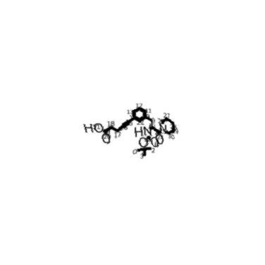 CC(C)(C)OC(=O)N[C@@H](Cc1cccc(C#CCCC(=O)O)c1)C(=O)N1CCCCC1